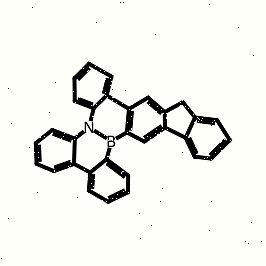 c1ccc2c(c1)Cc1cc3c(cc1-2)B1c2ccccc2-c2ccccc2N1c1ccccc1-3